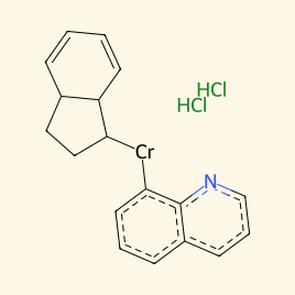 C1=CC2CC[CH]([Cr][c]3cccc4cccnc34)C2C=C1.Cl.Cl